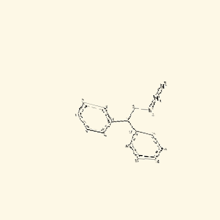 [N-]=[N+]=NCC(c1ccccc1)c1ccccc1